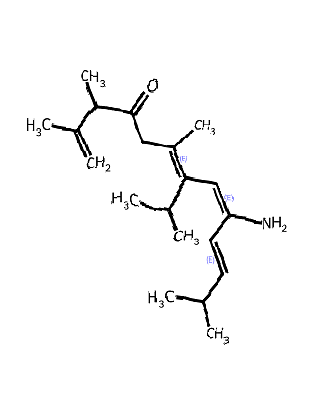 C=C(C)C(C)C(=O)C/C(C)=C(/C=C(N)\C=C\C(C)C)C(C)C